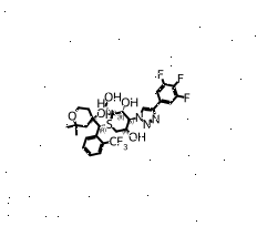 CC1(C)C[C@@](O)([C@@H](c2ccccc2C(F)(F)F)[SH]2C[C@H](O)[C@H](n3cc(-c4cc(F)c(F)c(F)c4)nn3)[C@@H](O)[C@H]2CO)CCO1